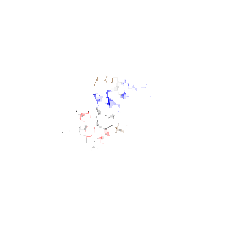 COc1cc(Cn2nnc3c(Br)nc(N)nc32)c(Br)c(OC)c1OC